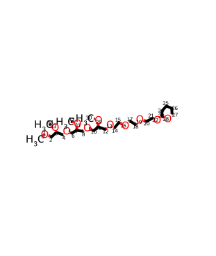 COCC(COCC(COCC(COCCOCCOCCOC1CCCCO1)OC)OC)OC